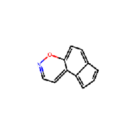 c1cc2ccc3onccc3c2c1